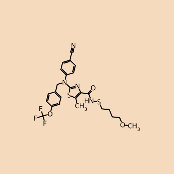 COCCCCSNC(=O)c1nc(N(Cc2ccc(OC(F)(F)F)cc2)c2ccc(C#N)cc2)sc1C